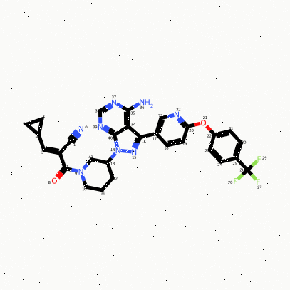 N#CC(=CC1CC1)C(=O)N1CCCC(n2nc(-c3ccc(Oc4ccc(C(F)(F)F)cc4)nc3)c3c(N)ncnc32)C1